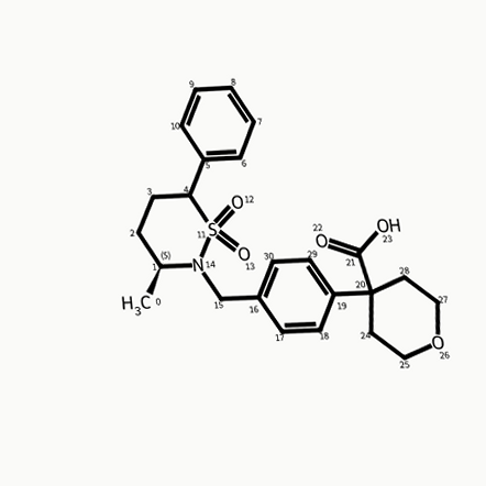 C[C@H]1CCC(c2ccccc2)S(=O)(=O)N1Cc1ccc(C2(C(=O)O)CCOCC2)cc1